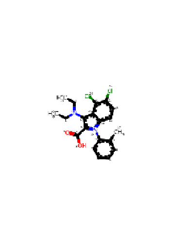 CCN(CC)c1c(C(=O)O)n(-c2ccccc2C)c2ccc(Cl)c(Cl)c12